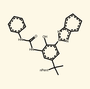 CCCCCC(C)(C)c1cc(NC(=O)Nc2ccccc2)c(O)c(-n2nc3ccccc3n2)c1